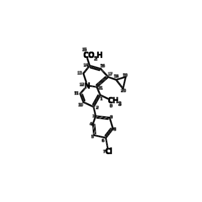 CC1=C(c2ccc(Cl)cc2)C=CN2CC(C(=O)O)=CC(C3CC3)=C12